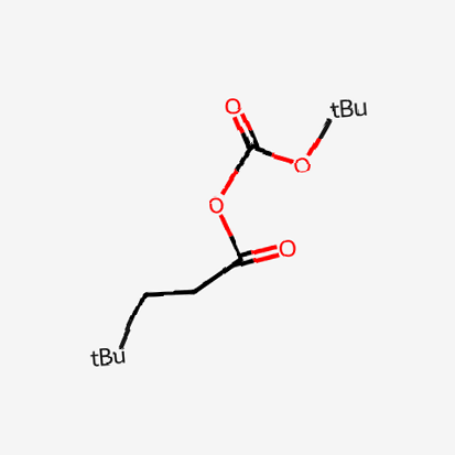 CC(C)(C)CCC(=O)OC(=O)OC(C)(C)C